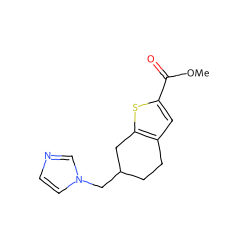 COC(=O)c1cc2c(s1)CC(Cn1ccnc1)CC2